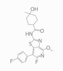 COc1nc(F)c(-c2ccc(F)cc2)c2sc(NC(=O)C3CCC(C)(O)CC3)nc12